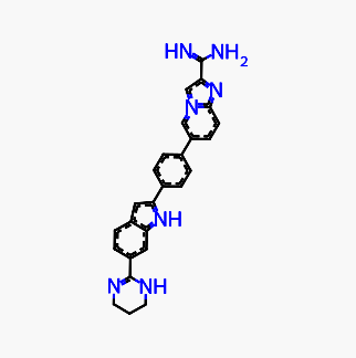 N=C(N)c1cn2cc(-c3ccc(-c4cc5ccc(C6=NCCCN6)cc5[nH]4)cc3)ccc2n1